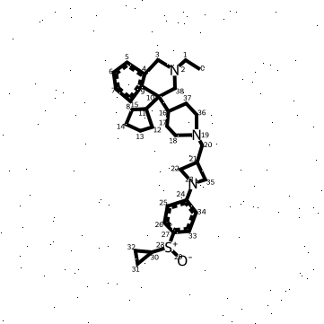 CCN1Cc2ccccc2C(C2CCCC2)(C2CCN(CC3CN(c4ccc([S+]([O-])C5CC5)cc4)C3)CC2)C1